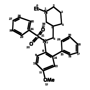 CCN1CCCC(CN(c2ccc(OC)cc2-c2ccccc2)S(=O)(=O)c2ccccc2)C1